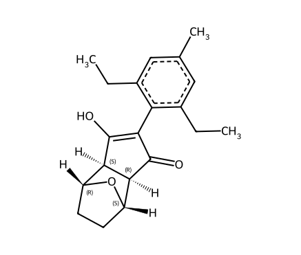 CCc1cc(C)cc(CC)c1C1=C(O)[C@H]2[C@@H](C1=O)[C@@H]1CC[C@H]2O1